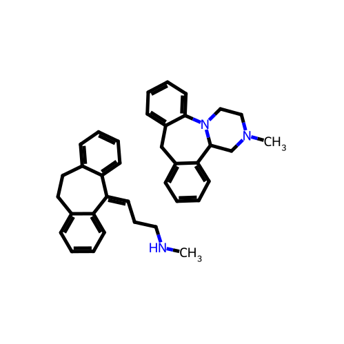 CN1CCN2c3ccccc3Cc3ccccc3C2C1.CNCCC=C1c2ccccc2CCc2ccccc21